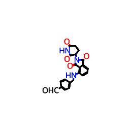 O=Cc1ccc(CNc2cccc3c2C(=O)N(C2CCC(=O)NC2=O)C3=O)cc1